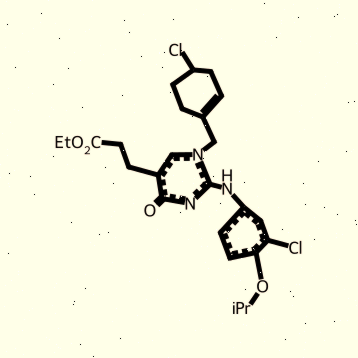 CCOC(=O)CCc1cn(CC2=CCC(Cl)CC2)c(Nc2ccc(OC(C)C)c(Cl)c2)nc1=O